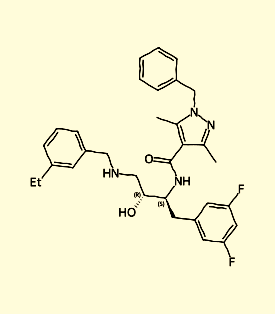 CCc1cccc(CNC[C@@H](O)[C@H](Cc2cc(F)cc(F)c2)NC(=O)c2c(C)nn(Cc3ccccc3)c2C)c1